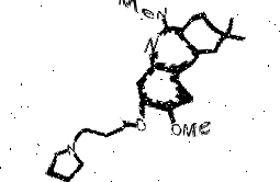 CNc1nc2cc(OCCCN3CCCC3)c(OC)cc2c2c1CC(C)(C)C2